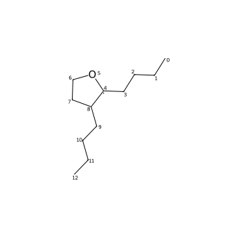 CCCC[C]1OCCC1CCCC